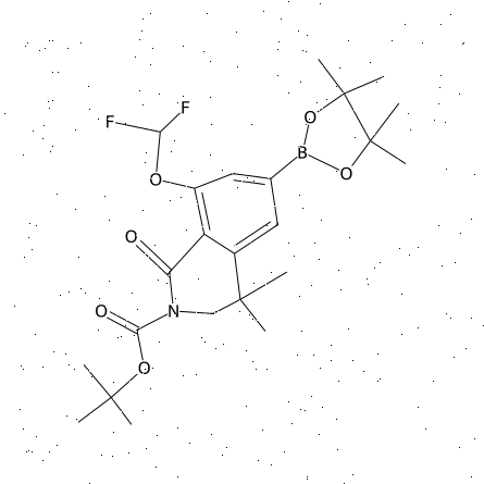 CC(C)(C)OC(=O)N1CC(C)(C)c2cc(B3OC(C)(C)C(C)(C)O3)cc(OC(F)F)c2C1=O